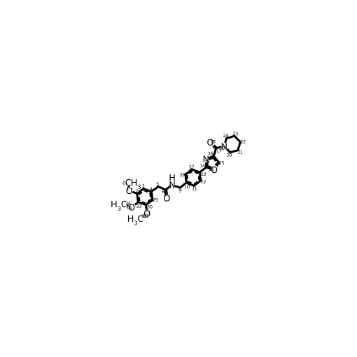 COc1cc(CC(=O)NCc2ccc(-c3nc(C(=O)N4CCCCC4)co3)cc2)cc(OC)c1OC